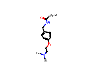 CCCCCC(=O)NCc1ccc(OCCN(CC)CC)cc1